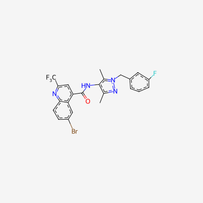 Cc1nn(Cc2cccc(F)c2)c(C)c1NC(=O)c1cc(C(F)(F)F)nc2ccc(Br)cc12